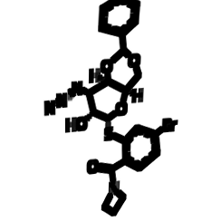 [N-]=[N+]=N[C@@H]1[C@@H](O)[C@@H](Sc2cc(Br)ccc2C(=O)N2CCC2)O[C@@H]2COC(c3ccccc3)O[C@H]12